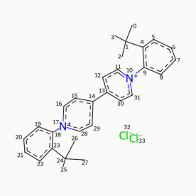 CC(C)(C)c1ccccc1-[n+]1ccc(-c2cc[n+](-c3ccccc3C(C)(C)C)cc2)cc1.[Cl-].[Cl-]